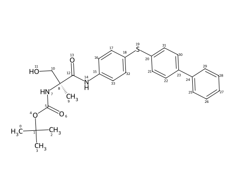 CC(C)(C)OC(=O)N[C@@](C)(CO)C(=O)Nc1ccc(Sc2ccc(-c3ccccc3)cc2)cc1